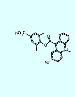 Cc1cc(C(=O)O)cc(C)c1OC(=O)c1c2ccccc2[n+](C)c2ccccc12.[Br-]